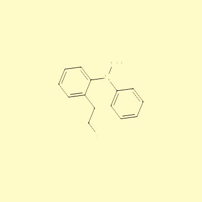 O=C(O)N(c1ccccc1)c1ccccc1CCC(F)(F)F